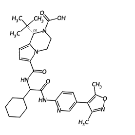 Cc1noc(C)c1-c1ccc(NC(=O)C(NC(=O)c2ccc3n2CCN(C(=O)O)[C@H]3C(C)(C)C)C2CCCCC2)nc1